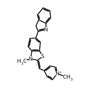 CN1/C(=C/c2cc[n+](C)cc2)Sc2cc(C3=Nc4ccccc4C3)ccc21